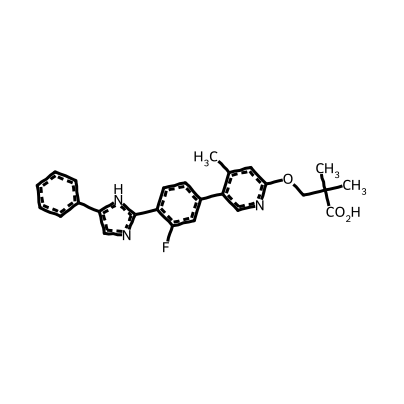 Cc1cc(OCC(C)(C)C(=O)O)ncc1-c1ccc(-c2ncc(-c3ccccc3)[nH]2)c(F)c1